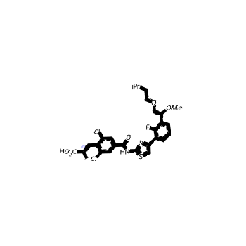 COC(COCCC(C)C)c1cccc(-c2csc(NC(=O)c3cc(Cl)c(/C=C(\C)C(=O)O)c(Cl)c3)n2)c1F